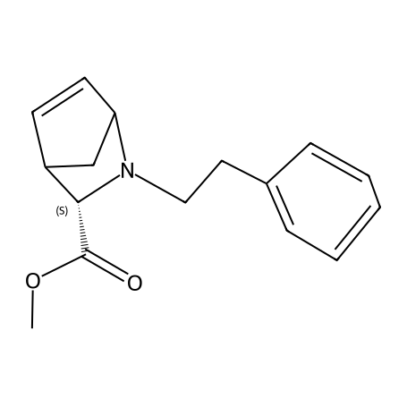 COC(=O)[C@@H]1C2C=CC(C2)N1CCc1ccccc1